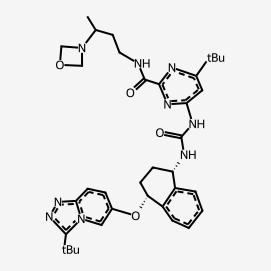 CC(CCNC(=O)c1nc(NC(=O)N[C@H]2CC[C@@H](Oc3ccc4nnc(C(C)(C)C)n4c3)c3ccccc32)cc(C(C)(C)C)n1)N1COC1